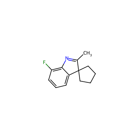 CC1=Nc2c(F)cccc2C12CCCC2